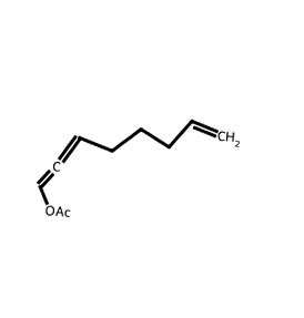 C=CCCCC=C=COC(C)=O